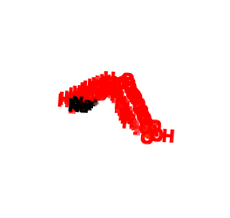 O.O.O.O.O.O.O.O.O.O.O.O.O.O.O.O.O.O.O.O.O.O.O.O.O=P([O-])([O-])O.[Na+].[Na+]